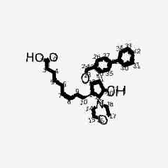 O=C(O)CCCC/C=C\CC[C@@H]1[C@@H](N2CCOCC2)[C@H](O)C[C@@H]1OCc1ccc(-c2ccccc2)cc1